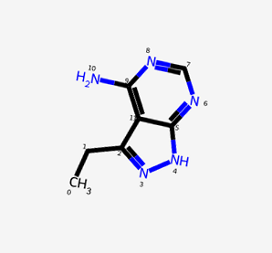 CCc1n[nH]c2ncnc(N)c12